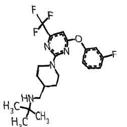 CC(C)(C)NCC1CCN(c2nc(Oc3cccc(F)c3)cc(C(F)(F)F)n2)CC1